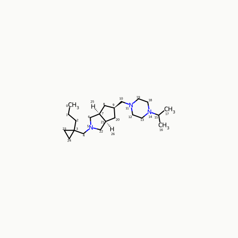 CCCC1(CN2C[C@H]3C[C@@H](CN4CCN(C(C)C)CC4)C[C@H]3C2)CC1